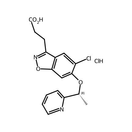 C[C@@H](Oc1cc2onc(CCC(=O)O)c2cc1Cl)c1ccccn1.Cl